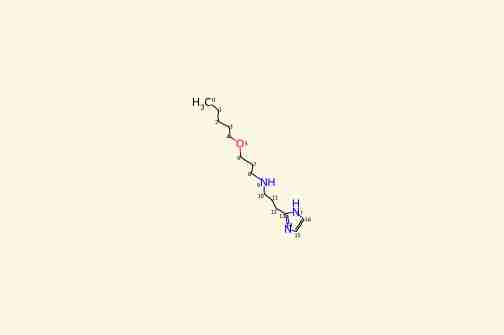 CCCCCOCCCNCCCc1ncc[nH]1